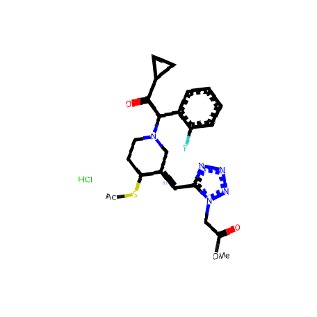 COC(=O)Cn1nnnc1/C=C1\CN(C(C(=O)C2CC2)c2ccccc2F)CCC1SC(C)=O.Cl